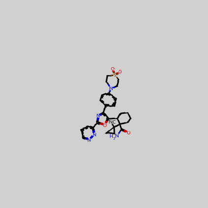 N#CC1(C2(C(N)=O)CCCCC2c2oc(-c3cccnn3)nc2-c2ccc(N3CCS(=O)(=O)CC3)cc2)CC1